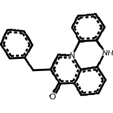 O=c1c(Cc2ccccc2)cn2c3c(cccc13)Nc1ccccc1-2